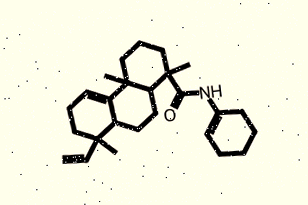 C=CC1(C)CCC=C2C1CCC1C(C)(C(=O)NC3=CCCCC3)CCCC21C